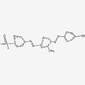 COc1cc(N=Nc2ccc(S(=O)(=O)F)cc2)ccc1N=Nc1ccc(O)cc1